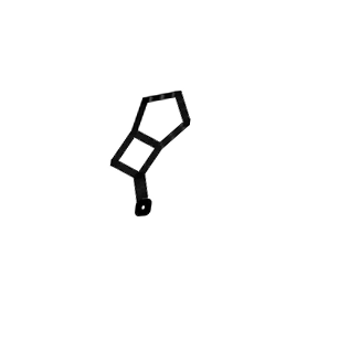 O=C1CC2CCCC12